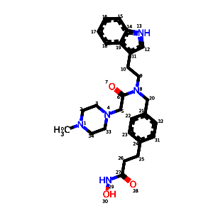 CN1CCN(CC(=O)N(CCc2c[nH]c3ccccc23)Cc2ccc(CCC(=O)NO)cc2)CC1